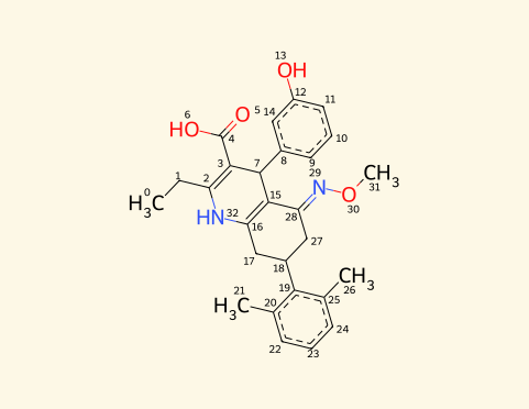 CCC1=C(C(=O)O)C(c2cccc(O)c2)C2=C(CC(c3c(C)cccc3C)CC2=NOC)N1